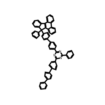 c1ccc(-c2ccc(-c3ccc(-c4nc(-c5ccccc5)nc(-c5ccc(-c6ccc(C7(c8ccccc8)c8ccccc8-c8c7c7ccccc7c7ccccc87)cc6)cc5)n4)cc3)cc2)cc1